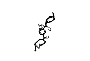 Cc1ccc(C(=O)Nc2cccc(C(=O)C3CCN(C)CC3)c2)cc1